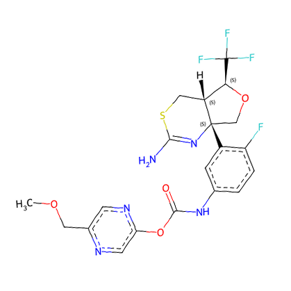 COCc1cnc(OC(=O)Nc2ccc(F)c([C@]34CO[C@H](C(F)(F)F)[C@H]3CSC(N)=N4)c2)cn1